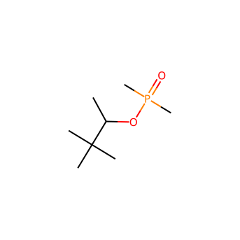 CC(OP(C)(C)=O)C(C)(C)C